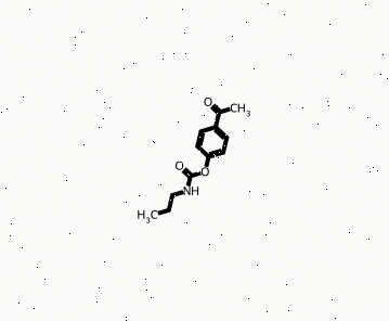 CCCNC(=O)Oc1ccc(C(C)=O)cc1